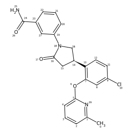 Cc1cccc(Oc2cc(Cl)ccc2[C@H]2CC(=O)N(c3cccc(C(N)=O)c3)C2)n1